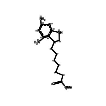 COC(=O)CCCCCCC1CNc2nc(N)nc(N)c21